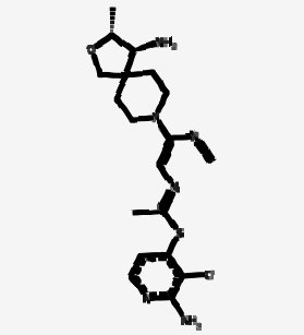 C=N/C(=C\N=C(/C)Sc1ccnc(N)c1Cl)N1CCC2(CC1)CO[C@H](C)[C@H]2N